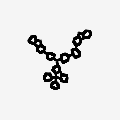 c1ccc(C2(c3ccccc3)c3ccccc3-c3cc(N(c4ccc(-c5cccc(-c6ccc7sc8ccccc8c7c6)c5)cc4)c4ccc(-c5ccc6c(c5)sc5ccccc56)cc4)ccc32)cc1